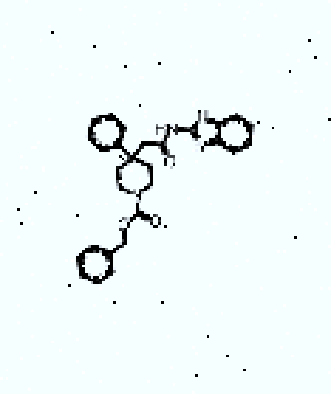 O=C(CC1(c2ccccc2)CCN(C(=O)OCc2ccccc2)CC1)Nc1nc2ccccc2s1